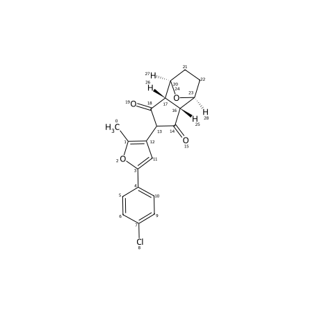 Cc1oc(-c2ccc(Cl)cc2)cc1C1C(=O)[C@@H]2[C@H](C1=O)[C@H]1CC[C@@H]2O1